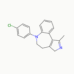 CC1=NCC2=C1c1ccccc1N(c1ccc(Cl)cc1)CC2